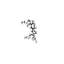 CCN(CC)C1CCN(c2ccc(Cl)c(C(=O)OC)c2)C1